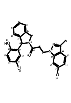 Cc1nn(CCC(=O)N2Cc3ccccc3C2c2cc(Cl)ccc2O)c2cc(Cl)ccc12